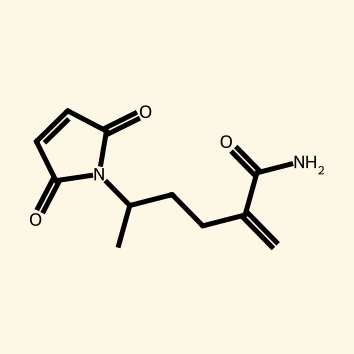 C=C(CCC(C)N1C(=O)C=CC1=O)C(N)=O